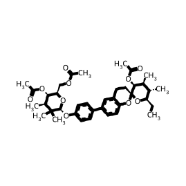 CC[C@H]1O[C@@]2(CCc3cc(-c4ccc(O[C@H]5O[C@H](COC(C)=O)[C@@H](OC(C)=O)[C@H](C)C5(C)C)cc4)ccc3O2)[C@@H](OC(C)=O)[C@@H](C)[C@@H]1C